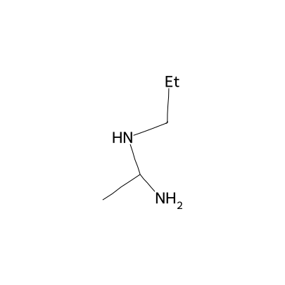 CCCNC(C)N